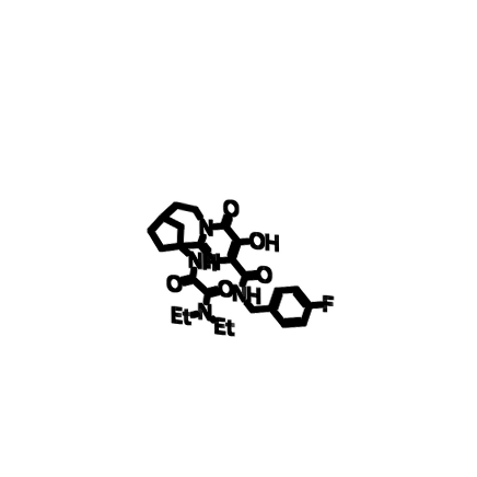 CCN(CC)C(=O)C(=O)NC12CCC(CCn3c1nc(C(=O)NCc1ccc(F)cc1)c(O)c3=O)C2